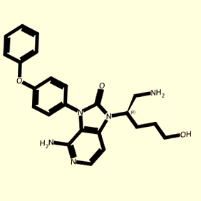 NC[C@@H](CCCO)n1c(=O)n(-c2ccc(Oc3ccccc3)cc2)c2c(N)nccc21